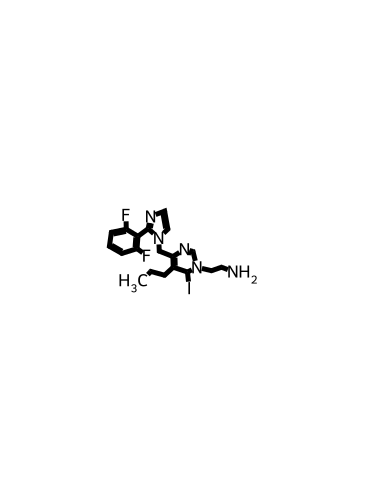 CCCC1=C(Cn2ccnc2-c2c(F)cccc2F)N=CN(CCN)C1I